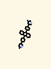 Cc1cncc(-c2ccc(-c3c4ccccc4c(-c4ccc(-c5ccc(C)nc5)cc4)c4ccccc34)cc2)c1